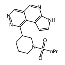 CCCS(=O)(=O)N1CCCC(c2nncc3cnc4[nH]ccc4c23)C1